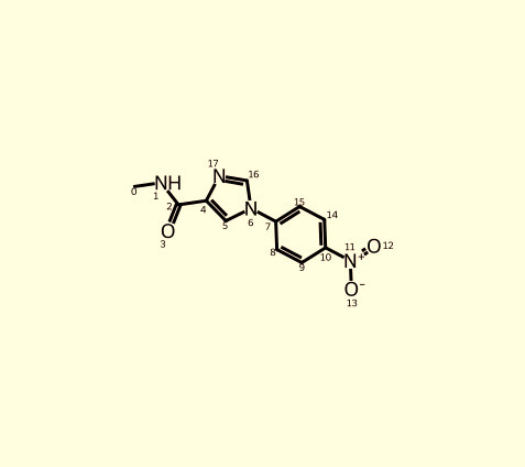 CNC(=O)c1cn(-c2ccc([N+](=O)[O-])cc2)cn1